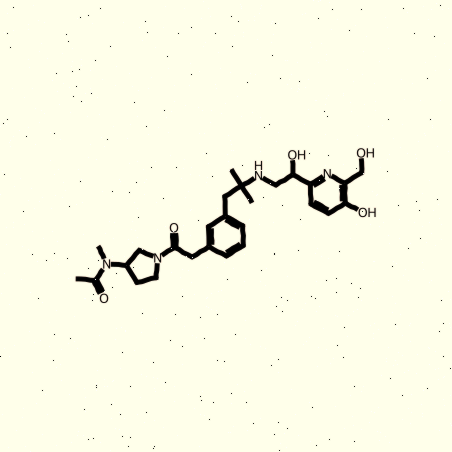 CC(=O)N(C)C1CCN(C(=O)Cc2cccc(CC(C)(C)NCC(O)c3ccc(O)c(CO)n3)c2)C1